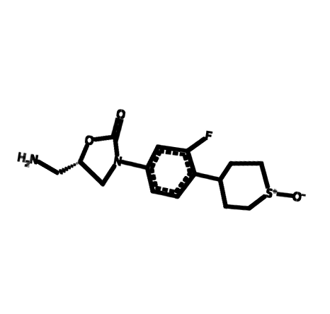 NC[C@H]1CN(c2ccc(C3CC[S+]([O-])CC3)c(F)c2)C(=O)O1